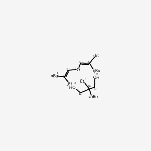 CCCCC(=COC=C(CC)CCCC)CC.CCCCC(CC)(CO)CO